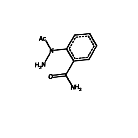 CC(=O)N(N)c1ccccc1C(N)=O